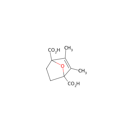 CC1=C(C)C2(C(=O)O)CCC1(C(=O)O)O2